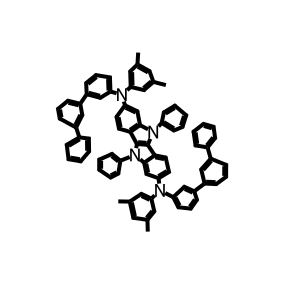 Cc1cc(C)cc(N(c2cccc(-c3cccc(-c4ccccc4)c3)c2)c2ccc3c(c2)n(-c2ccccc2)c2c4ccc(N(c5cc(C)cc(C)c5)c5cccc(-c6cccc(-c7ccccc7)c6)c5)cc4n(-c4ccccc4)c32)c1